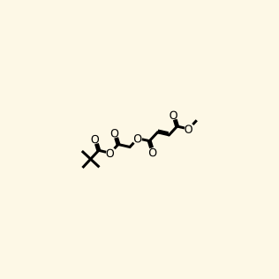 COC(=O)C=CC(=O)OCC(=O)OC(=O)C(C)(C)C